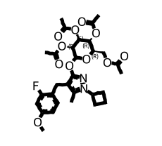 COc1ccc(Cc2c(OC3O[C@H](COC(C)=O)[C@@H](OC(C)=O)[C@H](OC(C)=O)[C@H]3OC(C)=O)nn(C3CCC3)c2C)c(F)c1